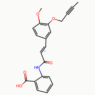 CC#CCOc1cc(/C=C/C(=O)Nc2ccccc2C(=O)O)ccc1OC